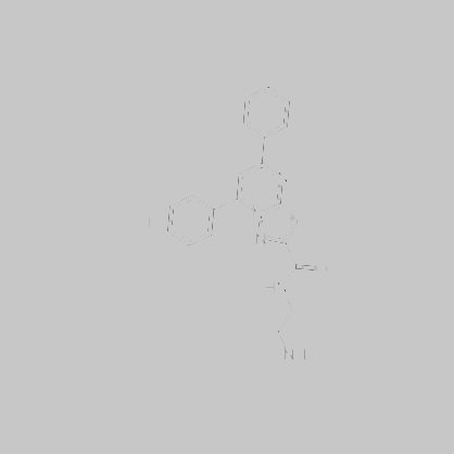 Cl.NCCNC(=O)c1cc2nc(-c3ccccc3)cc(-c3ccccc3)n2n1